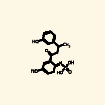 CC(CC(=O)C1=CC(O)=CCC1=NP(=O)(O)O)c1cccc(O)c1